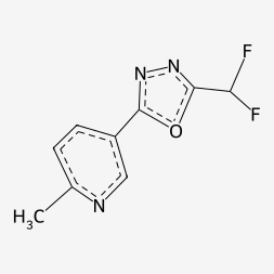 Cc1ccc(-c2nnc(C(F)F)o2)cn1